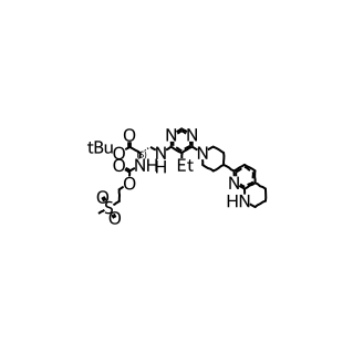 CCc1c(NC[C@H](NC(=O)OCCS(C)(=O)=O)C(=O)OC(C)(C)C)ncnc1N1CCC(c2ccc3c(n2)NCCC3)CC1